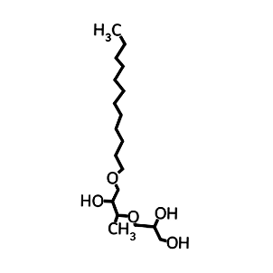 CCCCCCCCCCCCOCC(O)C(C)OCC(O)CO